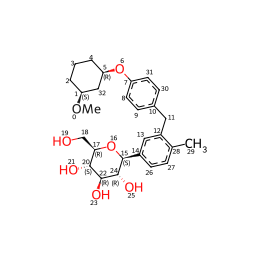 CO[C@H]1CCC[C@@H](Oc2ccc(Cc3cc([C@@H]4O[C@H](CO)[C@@H](O)[C@H](O)[C@H]4O)ccc3C)cc2)C1